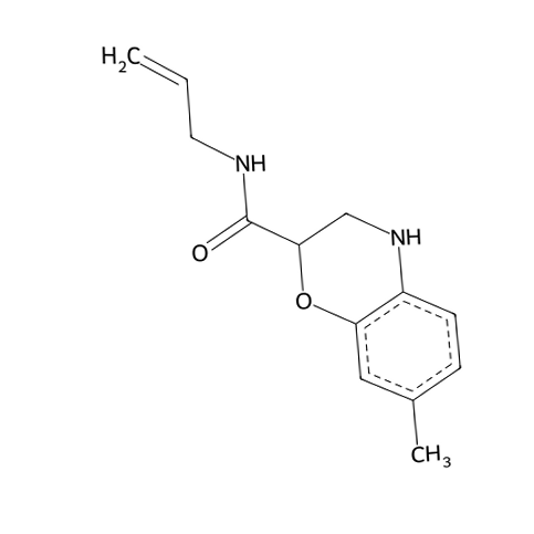 C=CCNC(=O)C1CNc2ccc(C)cc2O1